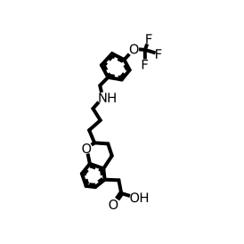 O=C(O)Cc1cccc2c1CCC(CCCNCc1ccc(OC(F)(F)F)cc1)O2